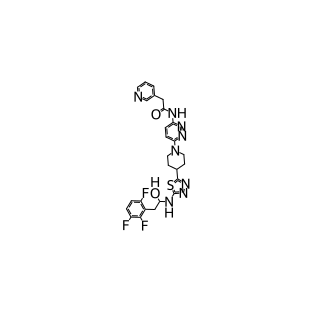 O=C(Cc1cccnc1)Nc1ccc(N2CCC(c3nnc(NC(O)Cc4c(F)ccc(F)c4F)s3)CC2)nn1